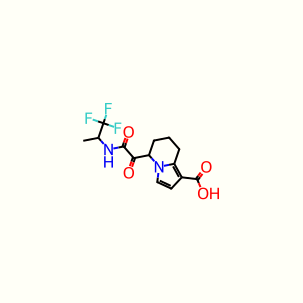 CC(NC(=O)C(=O)C1CCCc2c(C(=O)O)ccn21)C(F)(F)F